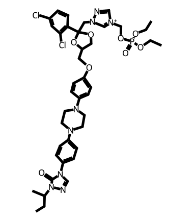 CCOP(=O)(OCC)OC[n+]1cnn(CC2(c3ccc(Cl)cc3Cl)OCC(COc3ccc(N4CCN(c5ccc(-n6cnn(C(C)CC)c6=O)cc5)CC4)cc3)O2)c1